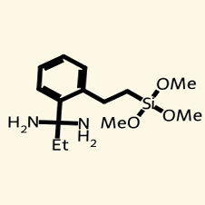 CCC(N)(N)c1ccccc1CC[Si](OC)(OC)OC